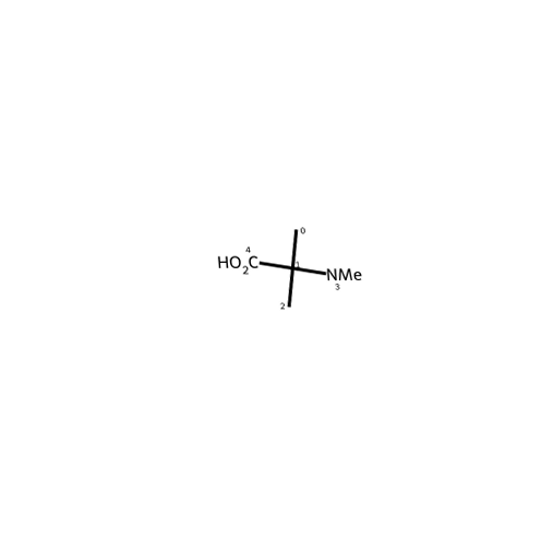 CC(C)(N[11CH3])C(=O)O